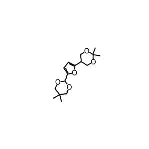 CC1(C)COC(c2ccc(C3COC(C)(C)OC3)o2)OC1